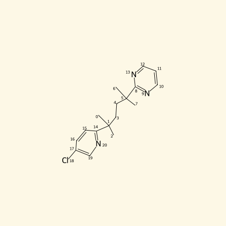 CC(C)(CCC(C)(C)c1ncccn1)c1ccc(Cl)cn1